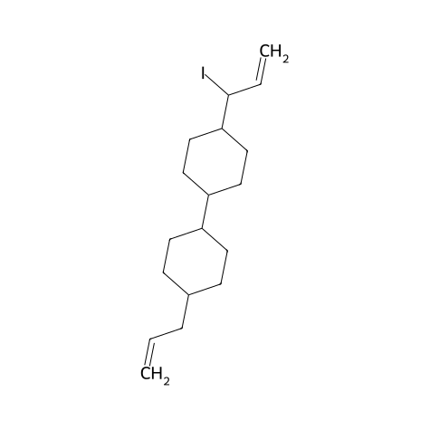 C=CCC1CCC(C2CCC(C(I)C=C)CC2)CC1